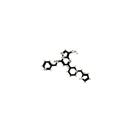 Cc1cnn2c(NCc3cccnc3)cc(C3CCCN(Cc4cccs4)C3)nc12